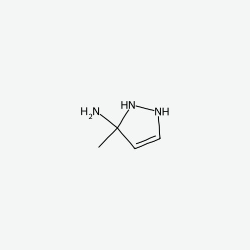 CC1(N)C=CNN1